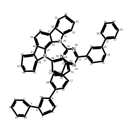 c1ccc(-c2cccc(-c3ccc(-c4nc(-c5cccc(-c6ccccc6)c5)nc(-n5c6ccccc6c6ccc7c8ccccc8n(-c8ccccc8)c7c65)n4)cc3)c2)cc1